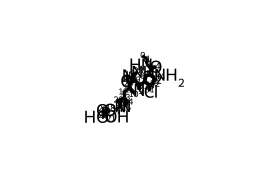 CCNC(=O)c1cc(-c2ncc(Cc3cnn(COP(=O)(O)O)c3)c3onc(N)c23)c(Cl)cc1N